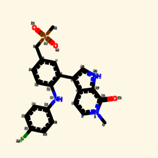 Cn1ccc2c(-c3cc(CS(C)(=O)=O)ccc3Nc3ccc(F)cc3)c[nH]c2c1=O